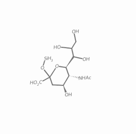 CC(=O)N[C@@H]1[C@@H](O)CC(O[SiH3])(C(=O)O)O[C@H]1C(O)C(O)CO